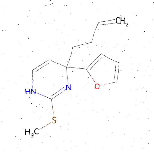 C=CCCC1(c2ccco2)C=CNC(SC)=N1